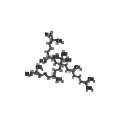 CC(C)=CCC/C(C)=C/CC(C/C=C(\C)CCC=C(C)C)(C/C=C(\C)CCC=C(C)C)C(O)(O)O